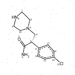 NC(=O)[C@H](CN1CCNCC1)c1ccc(Cl)cc1